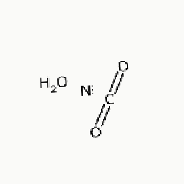 O.O=C=O.[N]